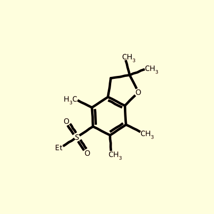 CCS(=O)(=O)c1c(C)c(C)c2c(c1C)CC(C)(C)O2